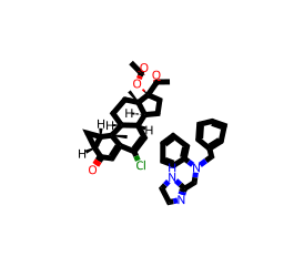 CC(=O)O[C@]1(C(C)=O)CC[C@H]2[C@@H]3C=C(Cl)C4=CC(=O)[C@@H]5C[C@@H]5[C@]4(C)[C@H]3CC[C@@]21C.c1ccc(CN(CC2=NCCN2)c2ccccc2)cc1